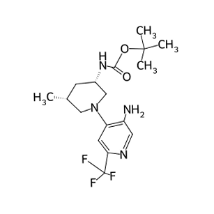 C[C@@H]1C[C@H](NC(=O)OC(C)(C)C)CN(c2cc(C(F)(F)F)ncc2N)C1